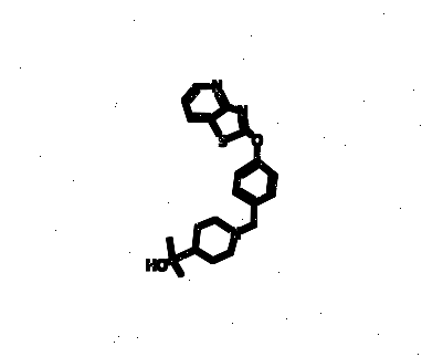 CC(C)(O)C1CCN(Cc2ccc(Oc3nc4ncccc4s3)cc2)CC1